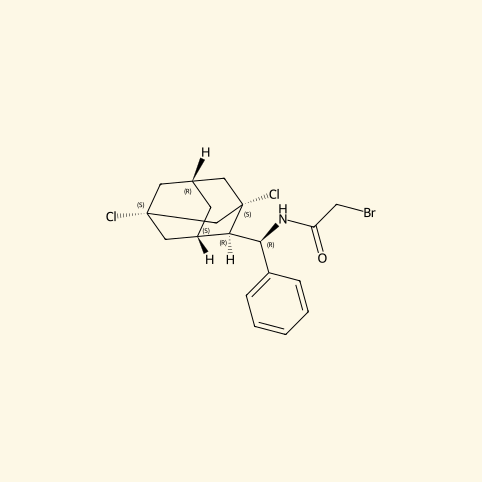 O=C(CBr)N[C@@H](c1ccccc1)[C@H]1[C@H]2C[C@@H]3C[C@](Cl)(C2)C[C@@]1(Cl)C3